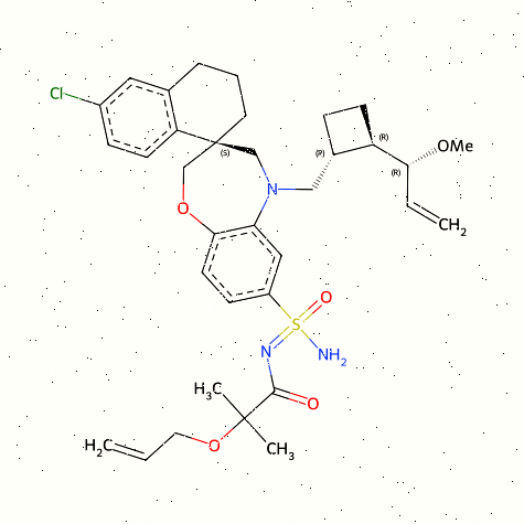 C=CCOC(C)(C)C(=O)N=S(N)(=O)c1ccc2c(c1)N(C[C@@H]1CC[C@H]1[C@@H](C=C)OC)C[C@@]1(CCCc3cc(Cl)ccc31)CO2